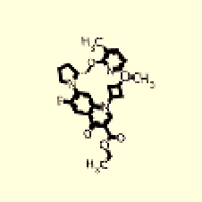 CCOC(=O)c1cn(C2CC(OC)C2)c2cc(N3CCC[C@@H]3COc3ncccc3C)c(F)cc2c1=O